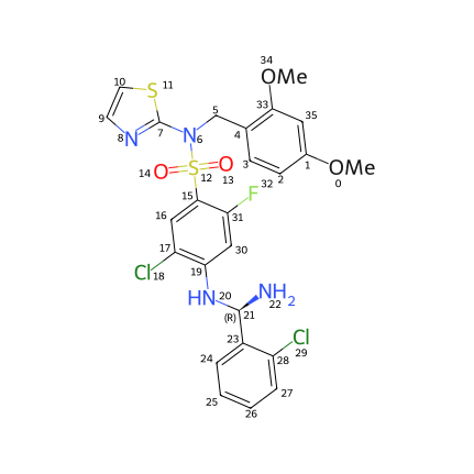 COc1ccc(CN(c2nccs2)S(=O)(=O)c2cc(Cl)c(N[C@@H](N)c3ccccc3Cl)cc2F)c(OC)c1